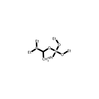 CCC[Si](OCC)(OCC)OC(C)N(CC)CC